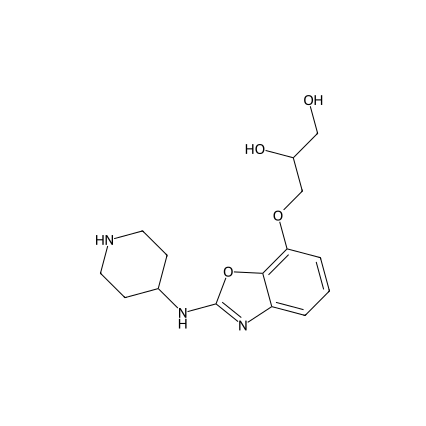 OCC(O)COc1cccc2nc(NC3CCNCC3)oc12